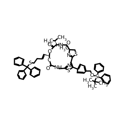 CC(C)[C@@H]1NC(=O)[C@]2(C)CSC(=N2)c2nc(sc2-c2ccc(CO[Si](c3ccccc3)(c3ccccc3)C(C)(C)C)cc2)CNC(=O)C[C@@H](/C=C/CCSC(c2ccccc2)(c2ccccc2)c2ccccc2)OC1=O